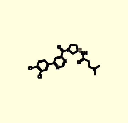 CN(C)CCC(=O)N[C@H]1CCN(C(=O)c2cc(-c3ccc(Cl)c(Cl)c3)ncn2)C1